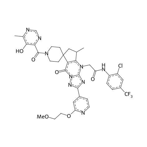 COCCOc1cc(-c2nc3n(CC(=O)Nc4ccc(C(F)(F)F)cc4Cl)c4c(c(=O)n3n2)C2(CCN(C(=O)c3ncnc(C)c3O)CC2)CC4C)ccn1